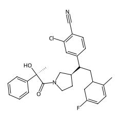 CC1=CC=C(F)CC1CC(c1ccc(C#N)c(Cl)c1)[C@H]1CCN(C(=O)[C@](C)(O)c2ccccc2)C1